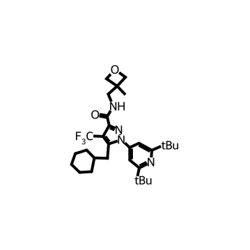 CC1(CNC(=O)c2nn(-c3cc(C(C)(C)C)nc(C(C)(C)C)c3)c(CC3CCCCC3)c2C(F)(F)F)COC1